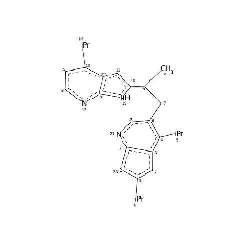 CC(C)c1cc2c(C(C)C)c(CC(C)c3cc4c(C(C)C)ccnc4[nH]3)cnc2s1